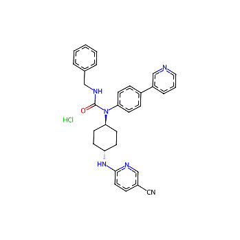 Cl.N#Cc1ccc(N[C@H]2CC[C@H](N(C(=O)NCc3ccccc3)c3ccc(-c4cccnc4)cc3)CC2)nc1